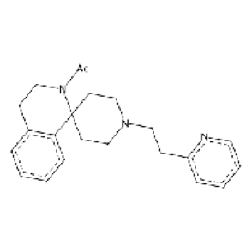 CC(=O)N1CCc2ccccc2C12CCN(CCc1ccccn1)CC2